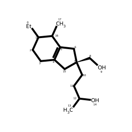 CCC1CCC2=C(C[C@](CO)(CCC(C)O)C2)C1C